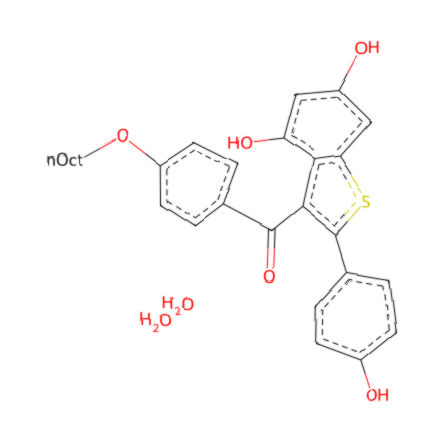 CCCCCCCCOc1ccc(C(=O)c2c(-c3ccc(O)cc3)sc3cc(O)cc(O)c23)cc1.O.O